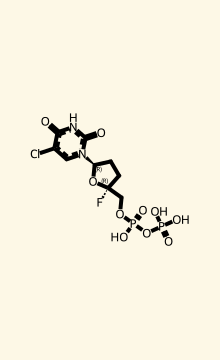 O=c1[nH]c(=O)n([C@H]2CC[C@@](F)(COP(=O)(O)OP(=O)(O)O)O2)cc1Cl